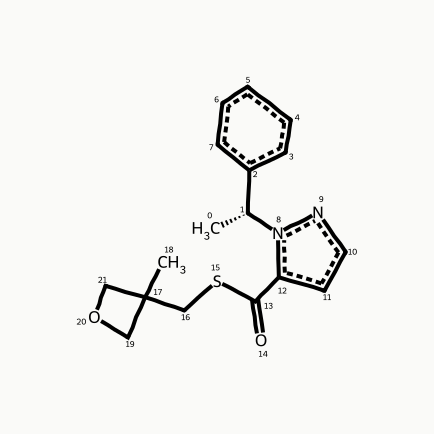 C[C@H](c1ccccc1)n1nccc1C(=O)SCC1(C)COC1